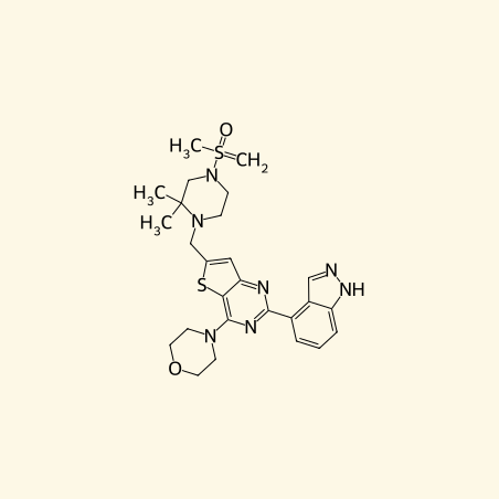 C=S(C)(=O)N1CCN(Cc2cc3nc(-c4cccc5[nH]ncc45)nc(N4CCOCC4)c3s2)C(C)(C)C1